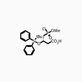 COP(=O)(Cl)C[C@H](CC(=O)O)O[Si](c1ccccc1)(c1ccccc1)C(C)(C)C